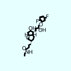 CCNC(=O)CCC[C@H]1CC[C@@H]2[C@@H](/C=C/[C@@H](O)COc3cc(F)ccc3F)[C@H](O)C[C@@H]2OC1